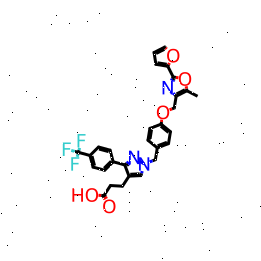 Cc1oc(-c2ccco2)nc1COc1ccc(Cn2cc(CCC(=O)O)c(-c3ccc(C(F)(F)F)cc3)n2)cc1